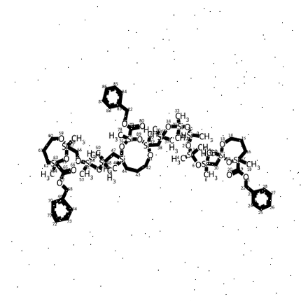 C[SiH](O[Si](C)(C)O[Si](C)(C)C[Si]1(C)OCCC[Si](C)(C(=O)OCc2ccccc2)O1)O[Si](C)(C)O[Si](C)(C)C[Si]1(C)OCCC[Si](C)(C[Si](C)(C)O[Si](C)(C)OC[Si]2(C)OCCC[Si](C)(C(=O)OCc3ccccc3)O2)O[Si](C)(C(=O)OCc2ccccc2)O1